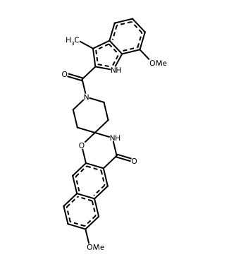 COc1ccc2cc3c(cc2c1)C(=O)NC1(CCN(C(=O)c2[nH]c4c(OC)cccc4c2C)CC1)O3